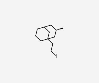 C[C@@H]1CC2CCCC(CCI)(C2)C1